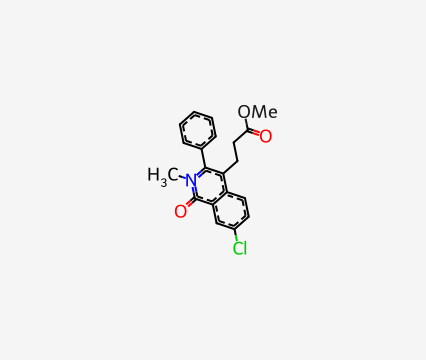 COC(=O)CCc1c(-c2ccccc2)n(C)c(=O)c2cc(Cl)ccc12